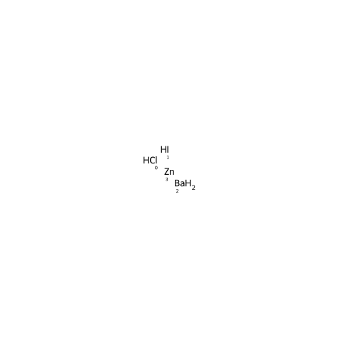 Cl.I.[BaH2].[Zn]